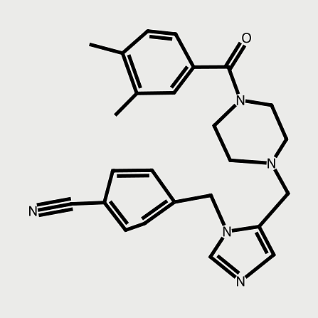 Cc1ccc(C(=O)N2CCN(Cc3cncn3Cc3ccc(C#N)cc3)CC2)cc1C